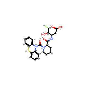 O=C(O)CC(NC(=O)C1CCCCN1C(=O)N1c2ccccc2Sc2ccccc21)C(O)CF